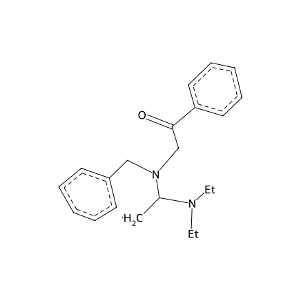 [CH2]C(N(CC)CC)N(CC(=O)c1ccccc1)Cc1ccccc1